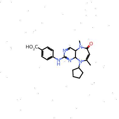 CC1=CC(=O)N(C)C2C=NC(Nc3ccc(C(=O)O)cc3)=NC2N1C1CCCC1